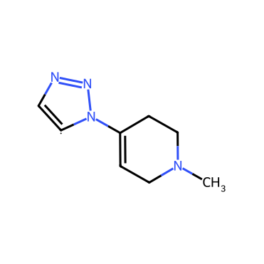 CN1CC=C(n2[c]cnn2)CC1